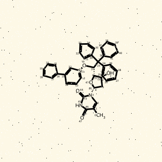 Cc1cn([C@H]2C[C@H](O)[C@@H](C(O[si]3cccc(-c4ccccc4)c3)C(c3ccccc3)(c3ccccc3)c3ccccc3)O2)c(=O)[nH]c1=O